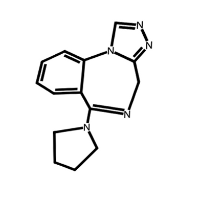 c1ccc2c(c1)C(N1CCCC1)=NCc1nncn1-2